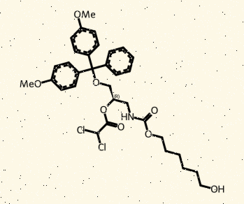 COc1ccc(C(OC[C@@H](CNC(=O)OCCCCCCO)OC(=O)C(Cl)Cl)(c2ccccc2)c2ccc(OC)cc2)cc1